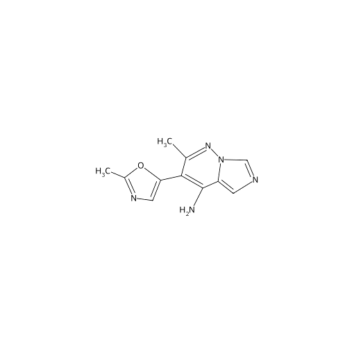 Cc1ncc(-c2c(C)nn3cncc3c2N)o1